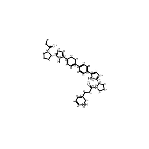 CCC(=O)N1CCC[C@H]1c1ncc(C2=CC=C(c3ccc(-c4cnc([C@@H]5CCCN5C(=O)CCC5=CC=CNC5)[nH]4)cc3)CC2)[nH]1